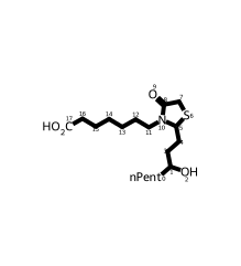 CCCCCC(O)CCC1SCC(=O)N1CCCCCCC(=O)O